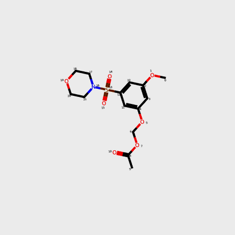 COc1cc(OCOC(C)=O)cc(S(=O)(=O)N2CCOCC2)c1